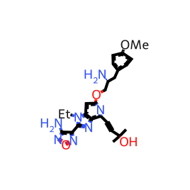 CCn1c(-c2nonc2N)nc2c(C#CC(C)(C)O)nc(OC[C@H](N)Cc3ccc(OC)cc3)cc21